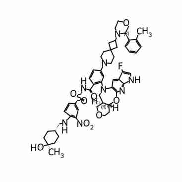 Cc1ccccc1[C@@H]1COCCN1C1CC2(CCN(c3ccc(C(=O)NS(=O)(=O)c4ccc(NC[C@H]5CC[C@](C)(O)CC5)c([N+](=O)[O-])c4)c(N4C[C@@H]5COCC[C@H]5Oc5nc6[nH]cc(F)c6cc54)c3)CC2)C1